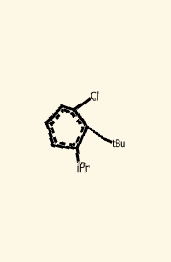 CC(C)c1cccc(Cl)c1C(C)(C)C